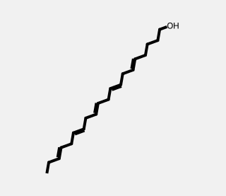 CCC=CCC=CCC=CCC=CCC=CCCCCO